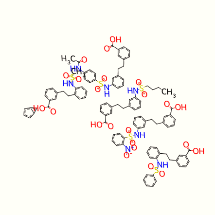 CC(=O)Nc1ccc(S(=O)(=O)Nc2cccc(CCc3cccc(C(=O)O)c3)c2)cc1.CCCCS(=O)(=O)Nc1cccc(CCc2cccc(C(=O)O)c2)c1.CS(=O)(=O)Nc1ccccc1CCc1cccc(C(=O)O)c1.O=C(O)c1cccc(CCc2cccc(NS(=O)(=O)c3ccccc3[N+](=O)[O-])c2)c1.O=C(O)c1cccc(CCc2ccccc2NS(=O)(=O)c2ccccc2)c1.c1cc2cc-2c1